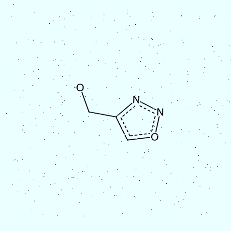 [O]Cc1conn1